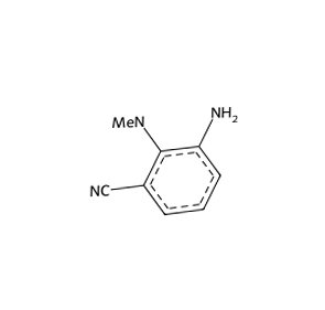 CNc1c(N)cccc1C#N